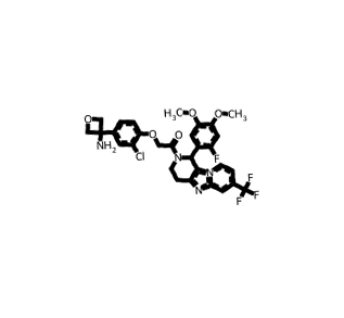 COc1cc(F)c(C2c3c(nc4cc(C(F)(F)F)ccn34)CCN2C(=O)COc2ccc(C3(N)COC3)cc2Cl)cc1OC